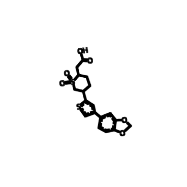 O=C(O)CC1CCC(c2cc(-c3ccc4c(c3)OCO4)cs2)CS1(=O)=O